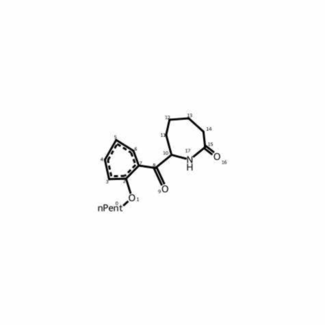 CCCCCOc1ccccc1C(=O)C1CCCCC(=O)N1